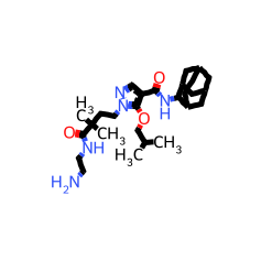 CC(C)COc1c(C(=O)NC2C3CC4CC(C3)CC2C4)cnn1CCC(C)(C)C(=O)NCCN